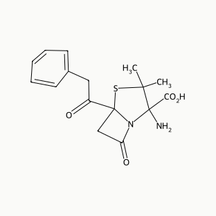 CC1(C)SC2(C(=O)Cc3ccccc3)CC(=O)N2C1(N)C(=O)O